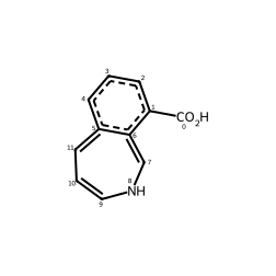 O=C(O)c1cccc2c1=CNC=CC=2